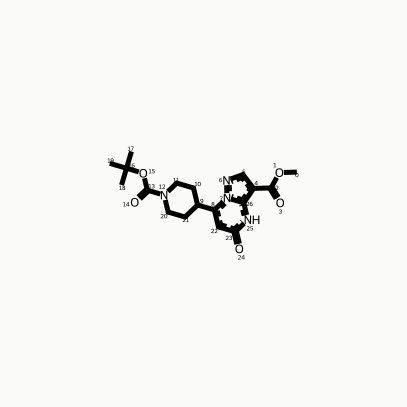 COC(=O)c1cnn2c(C3CCN(C(=O)OC(C)(C)C)CC3)cc(=O)[nH]c12